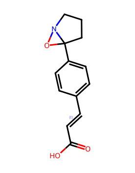 O=C(O)/C=C/c1ccc(C23CCCN2O3)cc1